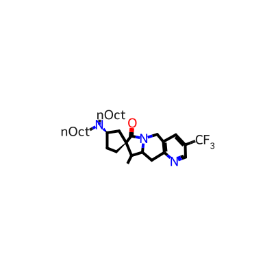 CCCCCCCCN(CCCCCCCC)[C@@H]1CC[C@@]2(C1)C(=O)N1Cc3cc(C(F)(F)F)cnc3CC1C2C